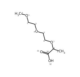 COCCOCCOC(C)C(=O)O